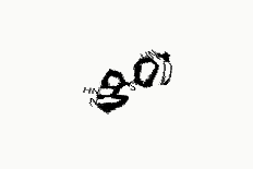 CC(=O)Nc1ccc(Sc2cccc3[nH]c4ncccc4c23)cc1